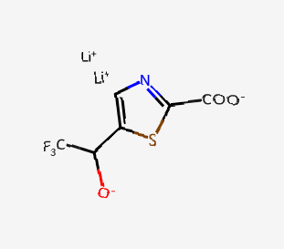 O=C([O-])c1ncc(C([O-])C(F)(F)F)s1.[Li+].[Li+]